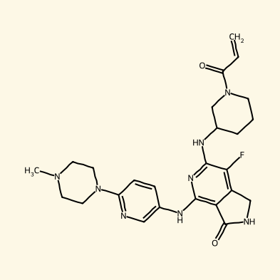 C=CC(=O)N1CCCC(Nc2nc(Nc3ccc(N4CCN(C)CC4)nc3)c3c(c2F)CNC3=O)C1